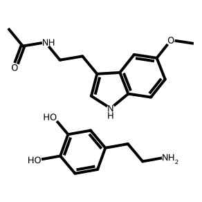 COc1ccc2[nH]cc(CCNC(C)=O)c2c1.NCCc1ccc(O)c(O)c1